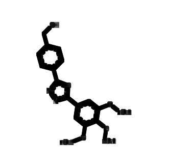 CCCCCCCCOc1cc(-c2nnc(-c3ccc(CO)cc3)o2)cc(OCCCCCCCC)c1OCCCCCCCC